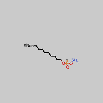 CCCCCCCCCCCCCCCCCCOP(C)(=O)ON